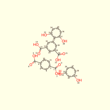 O=C(O)c1ccc(C(=O)O)cc1.O=C(O)c1cccc(C(=O)O)c1.Oc1cccc(O)c1.Oc1cccc(O)c1